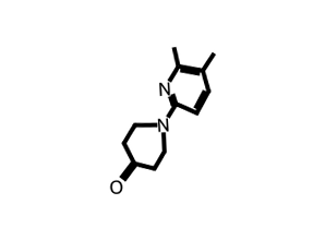 Cc1ccc(N2CCC(=O)CC2)nc1C